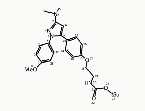 COc1ccc(-n2nc(N(C)C)cc2-c2ccc(OCCNC(=O)OC(C)(C)C)cc2)cc1